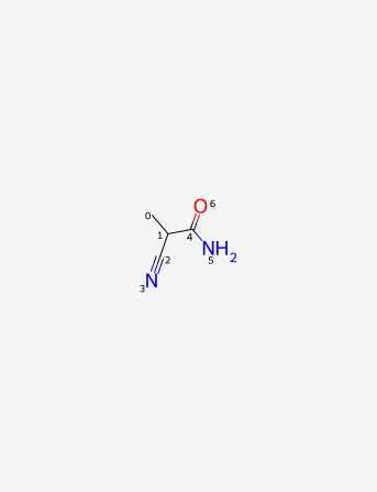 CC(C#N)C(N)=O